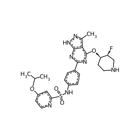 Cc1n[nH]c2nc(-c3ccc(NS(=O)(=O)c4cc(OC(C)C)ccn4)cc3)nc(O[C@@H]3CCNC[C@@H]3F)c12